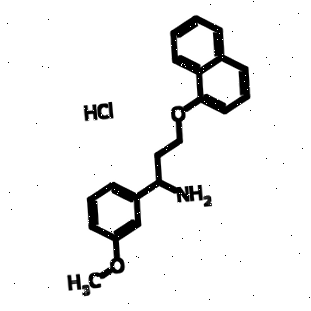 COc1cccc(C(N)CCOc2cccc3ccccc23)c1.Cl